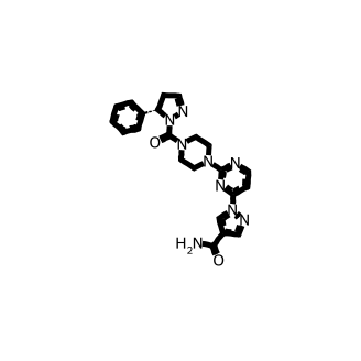 NC(=O)c1cnn(-c2ccnc(N3CCN(C(=O)N4N=CC[C@H]4c4ccccc4)CC3)n2)c1